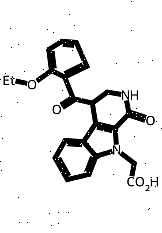 CCOc1ccccc1C(=O)C1CNC(=O)c2c1c1ccccc1n2CC(=O)O